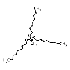 C=CCCCC=CCO[Si](C)(OCC=CCCCC=C)OCC=CCCCC=C